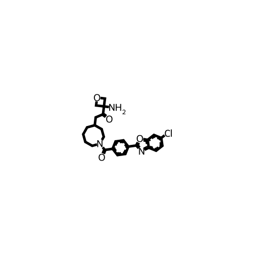 NC1(C(=O)CC2CCCCN(C(=O)c3ccc(-c4nc5ccc(Cl)cc5o4)cc3)CC2)COC1